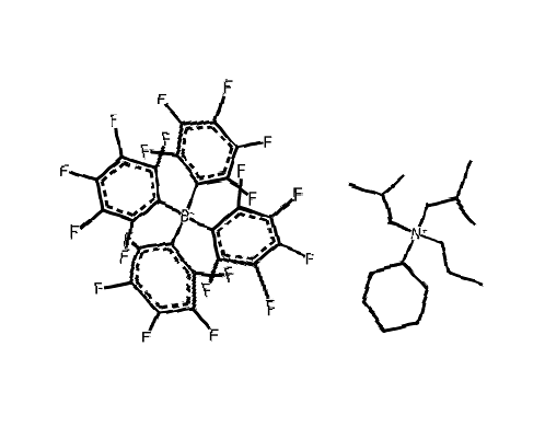 CCC[N+](CC(C)C)(CC(C)C)C1CCCCC1.Fc1c(F)c(F)c([B-](c2c(F)c(F)c(F)c(F)c2F)(c2c(F)c(F)c(F)c(F)c2F)c2c(F)c(F)c(F)c(F)c2F)c(F)c1F